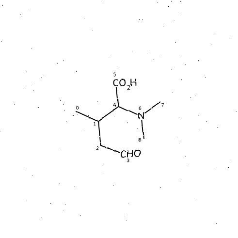 CC(CC=O)C(C(=O)O)N(C)C